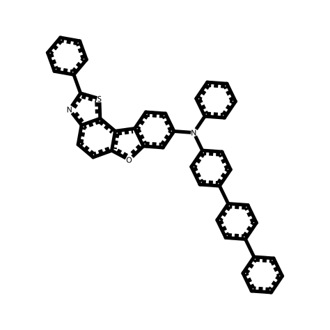 c1ccc(-c2ccc(-c3ccc(N(c4ccccc4)c4ccc5c(c4)oc4ccc6nc(-c7ccccc7)sc6c45)cc3)cc2)cc1